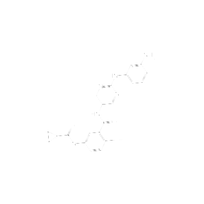 Cc1ccc(NC(=O)C2CC2)cc1C(=O)NC1C=NC(Nc2cccc(N)c2)=NC1